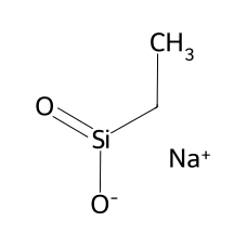 CC[Si](=O)[O-].[Na+]